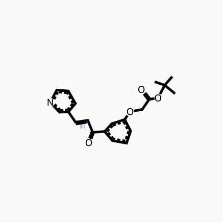 CC(C)(C)OC(=O)COc1cccc(C(=O)/C=C/c2cccnc2)c1